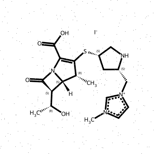 C[C@@H](O)[C@H]1C(=O)N2C(C(=O)O)=C(S[C@@H]3CN[C@H](C[n+]4ccn(C)c4)C3)[C@H](C)[C@H]12.[I-]